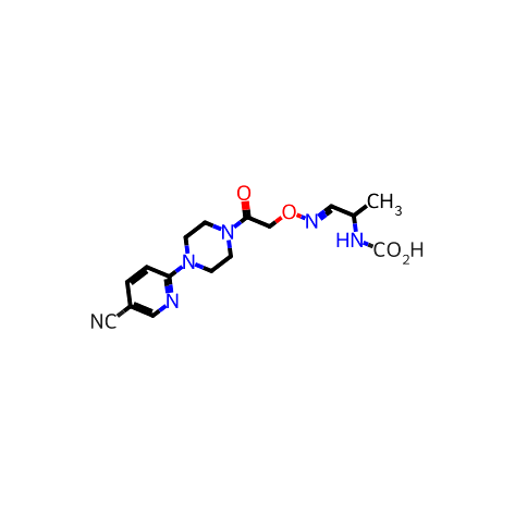 CC(C=NOCC(=O)N1CCN(c2ccc(C#N)cn2)CC1)NC(=O)O